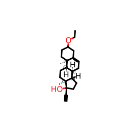 C#CC1(O)CC[C@H]2[C@@H]3CC=C4CC(OCC)CC[C@]4(C)[C@@H]3CC[C@@]21C